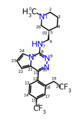 CN1CCC[C@@H](CNc2nnc(-c3ccc(C(F)(F)F)cc3CC(F)(F)F)c3cccn23)C1